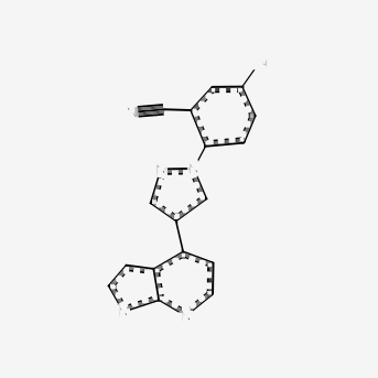 N#Cc1cc(Br)ccc1-n1cc(-c2ccnc3[nH]ccc23)cn1